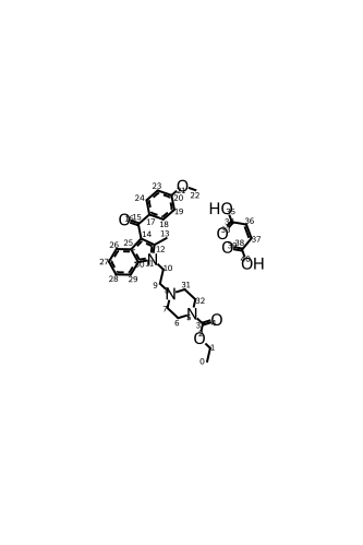 CCOC(=O)N1CCN(CCn2c(C)c(C(=O)c3ccc(OC)cc3)c3ccccc32)CC1.O=C(O)/C=C\C(=O)O